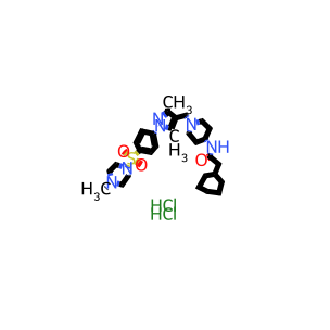 Cc1nn(-c2ccc(S(=O)(=O)N3CCN(C)CC3)cc2)c(C)c1CN1CCC(NC(=O)CC2CCCCC2)CC1.Cl.Cl